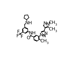 Cc1ccc(C(=O)Nc2cc(CNC3CCCC3)cc(C(F)(F)F)c2)cc1-n1cc(-c2cnn(C)c2C)nn1